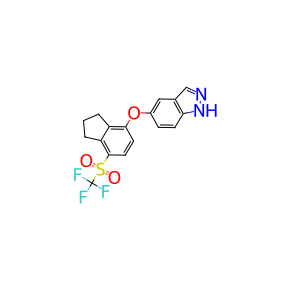 O=S(=O)(c1ccc(Oc2ccc3[nH]ncc3c2)c2c1CCC2)C(F)(F)F